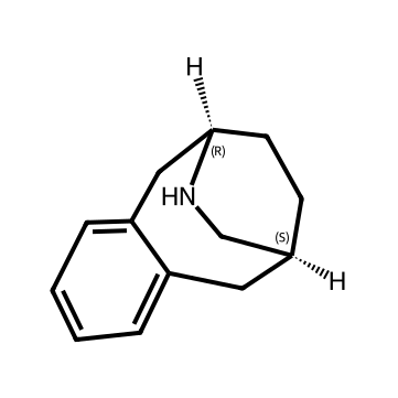 c1ccc2c(c1)C[C@@H]1CC[C@H](C2)NC1